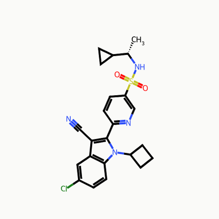 C[C@H](NS(=O)(=O)c1ccc(-c2c(C#N)c3cc(Cl)ccc3n2C2CCC2)nc1)C1CC1